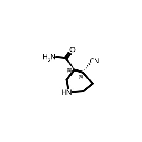 N#C[C@@H]1CCNC[C@H]1C(N)=O